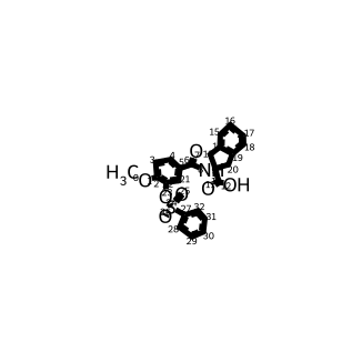 COc1ccc(C(=O)NC2(C(=O)O)Cc3ccccc3C2)cc1OS(=O)(=O)c1ccccc1